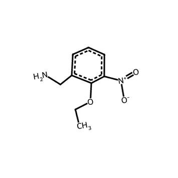 CCOc1c(CN)cccc1[N+](=O)[O-]